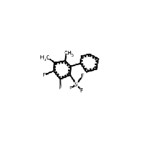 Cc1c(C)c(-c2ccccc2)c([Si](F)(F)F)c(F)c1F